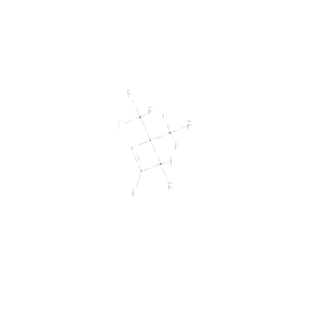 FC1=CC(C(F)(F)F)(C(F)(F)F)C1(F)F